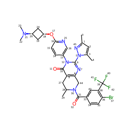 Cc1cc(C)n(-c2nc3c(c(=O)n2-c2ccc(O[C@H]4C[C@@H](N(C)C)C4)nc2)CC(C)N(C(=O)c2ccc(Br)c(C(F)(F)F)c2)C3)n1